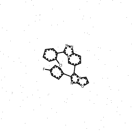 Fc1ccc(-c2nc3occn3c2-c2ccc3nnc(-c4ccccc4Cl)n3c2)cc1